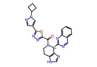 O=C(c1nnc(-c2cnn(C3CCC3)c2)o1)N1CCc2[nH]cnc2[C@@H]1c1ncc2ccccc2n1